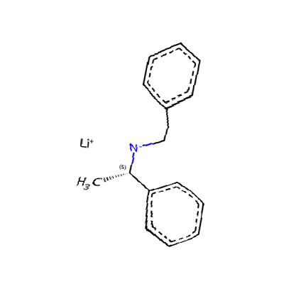 C[C@H]([N-]Cc1ccccc1)c1ccccc1.[Li+]